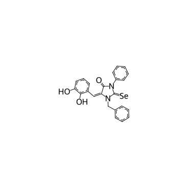 O=C1C(=Cc2cccc(O)c2O)N(Cc2ccccc2)C(=[Se])N1c1ccccc1